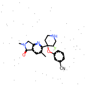 Cc1cc2c(nc1[C@]1(Oc3cccc(C#N)c3)CCNC[C@@H]1F)CN(C)C2=O